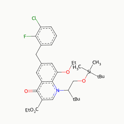 CCOC(=O)c1cn(C(CO[Si](C)(C)C(C)(C)C)C(C)(C)C)c2c(OCC)cc(Cc3cccc(Cl)c3F)cc2c1=O